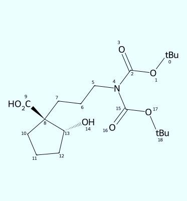 CC(C)(C)OC(=O)N(CCC[C@@]1(C(=O)O)CCC[C@H]1O)C(=O)OC(C)(C)C